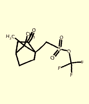 CC1(C)C2CCC1(CS(=O)(=O)OC(F)(F)F)C(=O)C2